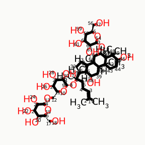 CC(C)=CCC[C@](C)(O[C@@H]1O[C@H](CO[C@@H]2O[C@H](CO)[C@@H](O)[C@H](O)[C@H]2O)[C@@H](O)[C@H](O)[C@H]1O)[C@H]1CC[C@]2(C)[C@@H]1[C@H](O)C[C@@H]1[C@@]3(C)CC[C@H](O)C(C)(C)[C@@H]3[C@@H](O[C@@H]3O[C@H](CO)[C@@H](O)[C@H](O)[C@H]3O)C[C@]12C